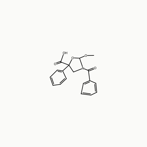 COC1OC(C(=O)O)(c2ccccc2)CN1C(=O)c1ccccc1